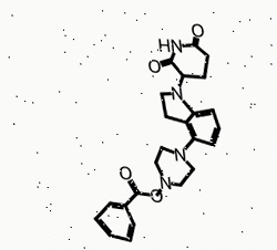 O=C1CCC(N2CCc3c(N4CCN(OC(=O)c5ccccc5)CC4)cccc32)C(=O)N1